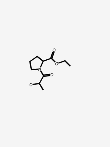 CCOC(=O)C1CCCN1C(=O)C(C)[O]